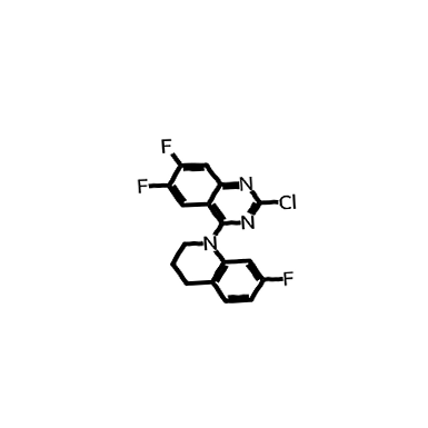 Fc1ccc2c(c1)N(c1nc(Cl)nc3cc(F)c(F)cc13)CCC2